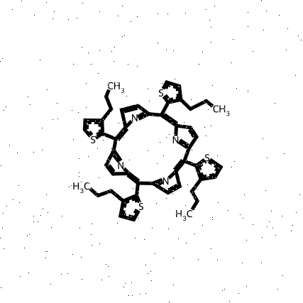 CCCc1ccsc1C1=C2C=CC(=N2)C(c2sccc2CCC)=C2C=CC(=N2)C(c2sccc2CCC)=C2C=CC(=N2)C(c2sccc2CCC)=C2C=CC1=N2